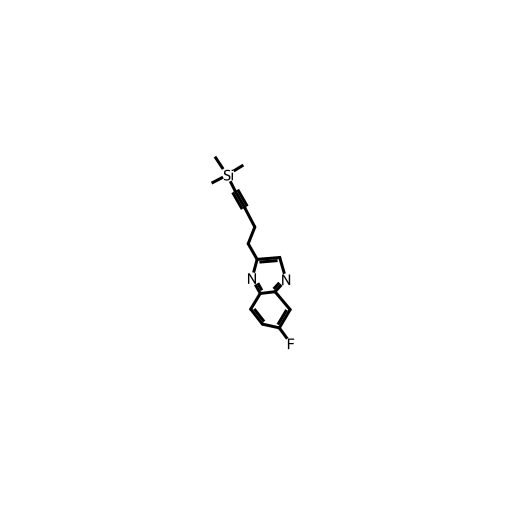 C[Si](C)(C)C#CCCc1cnc2cc(F)ccc2n1